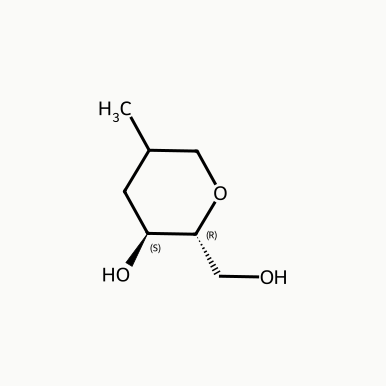 CC1CO[C@H](CO)[C@@H](O)C1